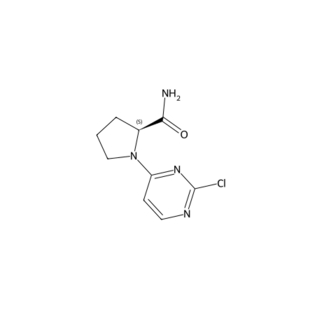 NC(=O)[C@@H]1CCCN1c1ccnc(Cl)n1